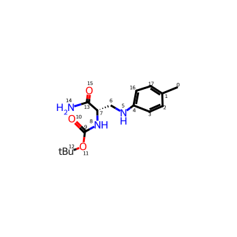 Cc1ccc(NC[C@H](NC(=O)OC(C)(C)C)C(N)=O)cc1